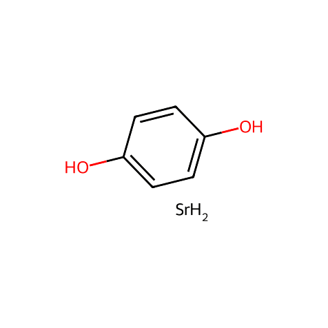 Oc1ccc(O)cc1.[SrH2]